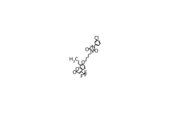 CCCc1c(OCCCCCN2C(=O)CN(c3cccc(Cl)c3)C2=O)ccc2c(C(F)(F)F)cc(=O)oc12